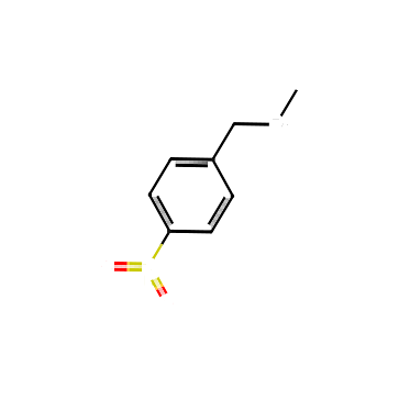 C[Te]Cc1ccc([SH](=O)=O)cc1